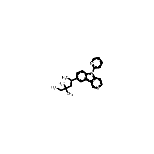 CCC(C)(C)CC(C)c1ccc2c(c1)c1cnccc1n2-c1ccccn1